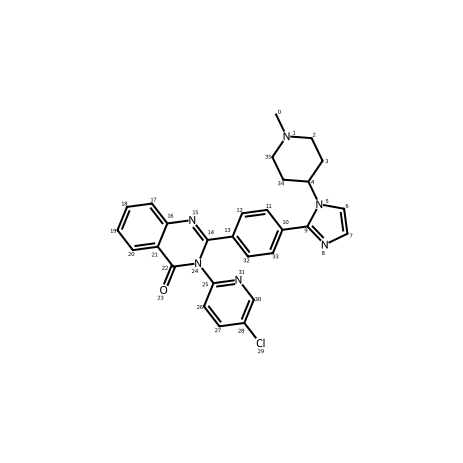 CN1CCC(n2ccnc2-c2ccc(-c3nc4ccccc4c(=O)n3-c3ccc(Cl)cn3)cc2)CC1